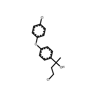 CC(O)(CCCl)c1ccc(Oc2ccc(Cl)cc2)cc1